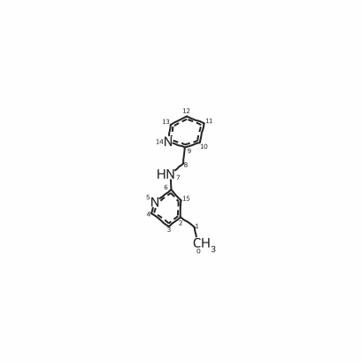 CCc1ccnc(NCc2ccccn2)c1